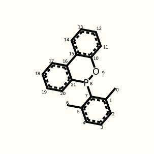 Cc1cccc(C)c1P1Oc2ccccc2-c2ccccc21